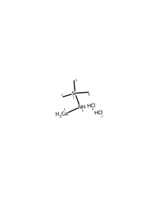 C[Si](C)(C)[NH][GaH2].Cl.Cl